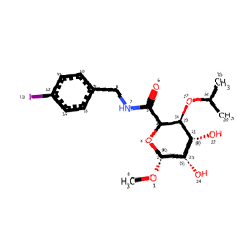 CO[C@@H]1OC(C(=O)NCc2ccc(I)cc2)[C@@H](OC(C)C)[C@H](O)[C@@H]1O